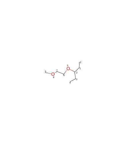 CCC(CC)OCCOC